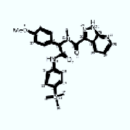 COc1ccc(C(C(=O)Nc2ccc(S(C)(C)C)cc2)N(C)C(=O)c2n[nH]c3ncccc23)cc1